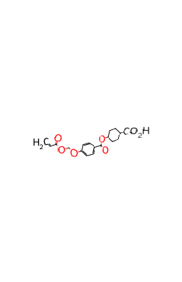 C=CC(=O)OCOc1ccc(C(=O)OC2CCC(C(=O)O)CC2)cc1